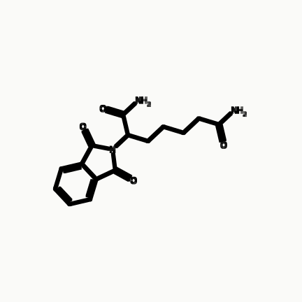 NC(=O)CCCCC(C(N)=O)N1C(=O)c2ccccc2C1=O